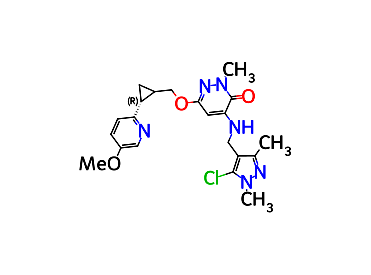 COc1ccc([C@@H]2CC2COc2cc(NCc3c(C)nn(C)c3Cl)c(=O)n(C)n2)nc1